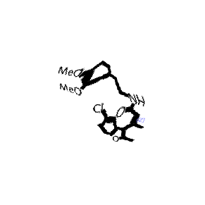 COc1ccc(CCNC(=O)/C=C(/C)c2c(C)oc3ccc(Cl)cc23)cc1OC